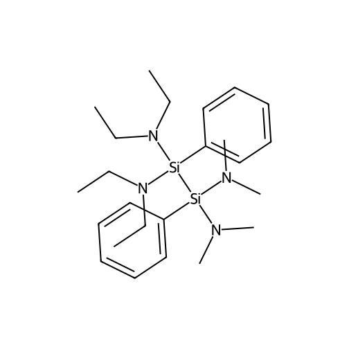 CCN(CC)[Si](c1ccccc1)(N(CC)CC)[Si](c1ccccc1)(N(C)C)N(C)C